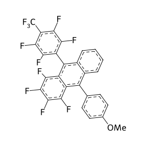 COc1ccc(-c2c3ccccc3c(-c3c(F)c(F)c(C(F)(F)F)c(F)c3F)c3c(F)c(F)c(F)c(F)c23)cc1